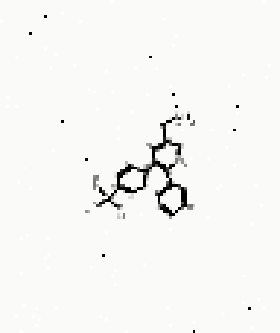 NCc1cnc(-c2ccccc2)c(-c2ccc(C(F)(F)F)cc2)c1